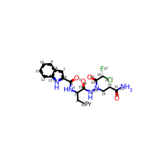 CC(C)CC(NC(=O)c1cc2ccccc2[nH]1)C(=O)NN(CCC(N)=O)C(=O)[C@H](F)Cl